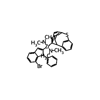 C[N](C)[Zr]([C]1=Cc2c3cccc2C1c1cccc(c1)S3)([C]1=Cc2cccc(Br)c2C1c1ccccc1)[N](C)C